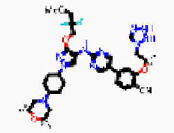 COCC(F)(F)COc1nn(C2CCC(N3C[C@@H](C)O[C@@H](C)C3)CC2)cc1Nc1ncc(-c2ccc(C#N)c(O[C@@H](C)CN3C=NNN3)c2)cn1